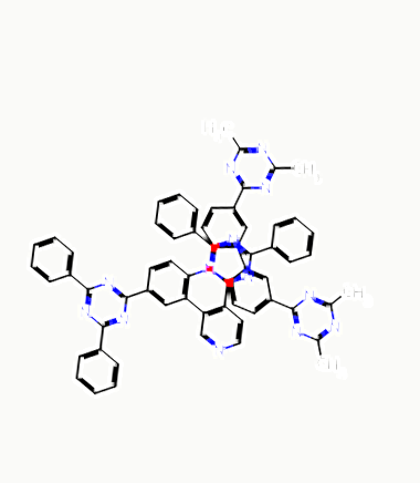 Cc1nc(C)nc(-c2ccc3c(c2)c2cc(-c4nc(C)nc(C)n4)ccc2n3-c2ccc(-c3nc(-c4ccccc4)nc(-c4ccccc4)n3)cc2-c2cnccc2-c2nc(-c3ccccc3)nc(-c3ccccc3)n2)n1